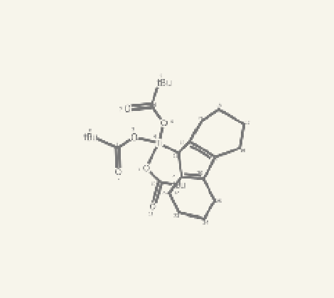 CC(C)(C)C(=O)[O][Ti]([O]C(=O)C(C)(C)C)([O]C(=O)C(C)(C)C)[CH]1C2=C(CCCC2)C2=C1CCCC2